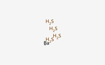 S.S.S.S.[Ba]